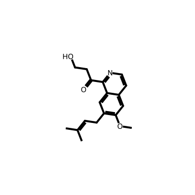 COc1cc2ccnc(C(=O)CCO)c2cc1CC=C(C)C